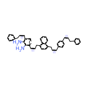 Nc1c(/C=C\Cc2ccccc2)ccc(/C=C\Cc2ccc(C/C=C\c3ccc(/C=C\Cc4ccccc4)cc3)c3ccccc23)c1N